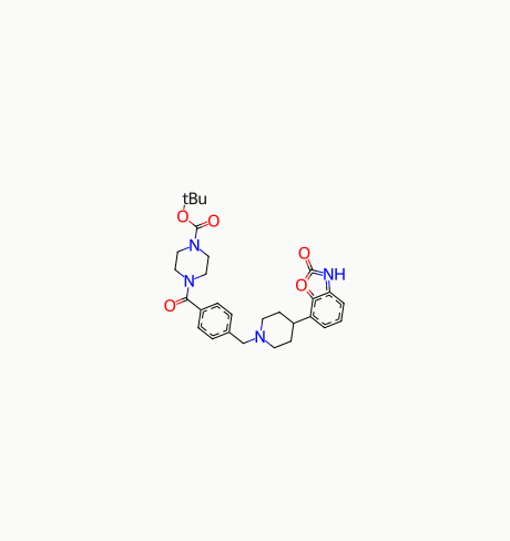 CC(C)(C)OC(=O)N1CCN(C(=O)c2ccc(CN3CCC(c4cccc5[nH]c(=O)oc45)CC3)cc2)CC1